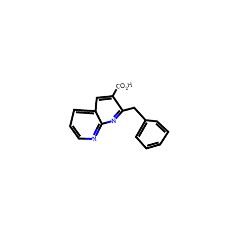 O=C(O)c1cc2cccnc2nc1Cc1ccccc1